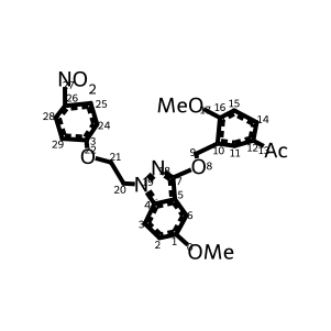 COc1ccc2c(c1)c(OCc1cc(C(C)=O)ccc1OC)nn2CCOc1ccc([N+](=O)[O-])cc1